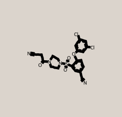 N#CCC(=O)N1CCN(S(=O)(=O)c2cc(C#N)ccc2Oc2cc(Cl)cc(Cl)c2)CC1